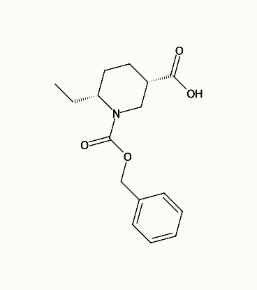 CC[C@@H]1CC[C@H](C(=O)O)CN1C(=O)OCc1ccccc1